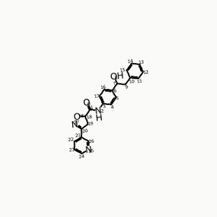 O=C(Nc1ccc(C(O)Cc2ccccc2)cc1)C1CC(c2cccnc2)=NO1